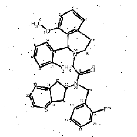 COc1cccc2c1C(c1ccccc1C)N(CC(=O)N(Cc1ccccc1F)C1Cc3ccccc3C1)CC2